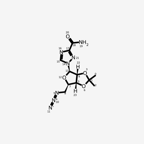 CC1(C)O[C@@H]2[C@H](O1)[C@@H](CN=[N+]=[N-])O[C@H]2n1cnc(C(N)=O)n1